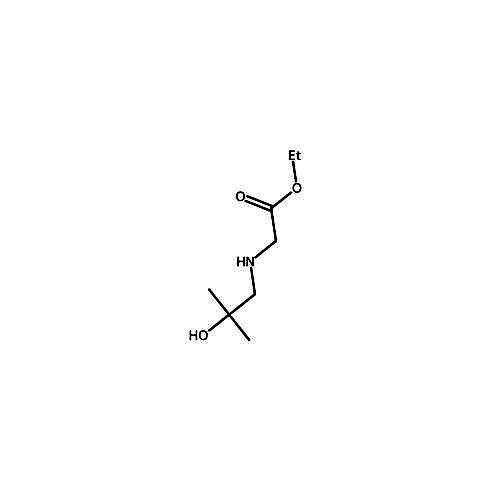 CCOC(=O)CNCC(C)(C)O